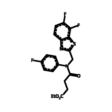 CCOC(=O)CCC(=O)N(Cc1nc2ccc(F)c(F)c2s1)c1ccc(F)cc1